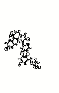 CC(C(=O)Nc1cnc(Oc2c(F)cc(F)cc2CO[Si](C)(C)C(C)(C)C)cn1)N1CCC(F)(F)C(c2cc[n+]([O-])cc2)C1